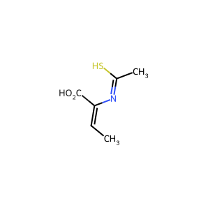 C/C=C(\N=C(\C)S)C(=O)O